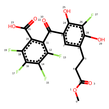 COC(=O)CCc1cc(C(=O)c2c(F)c(F)c(F)c(F)c2C(=O)O)c(O)c(F)c1O